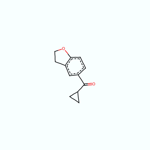 O=C(c1ccc2c(c1)CCO2)C1CC1